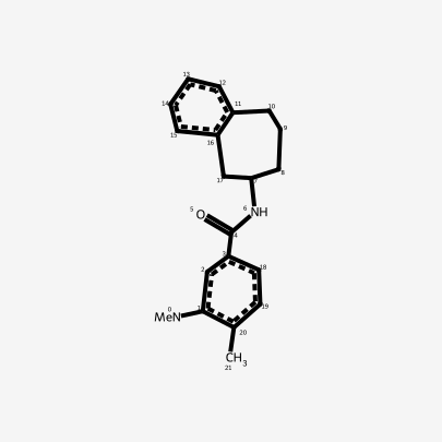 CNc1cc(C(=O)NC2CCCc3ccccc3C2)ccc1C